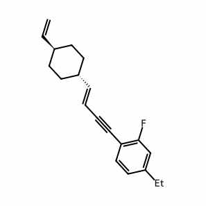 C=C[C@H]1CC[C@H](C=CC#Cc2ccc(CC)cc2F)CC1